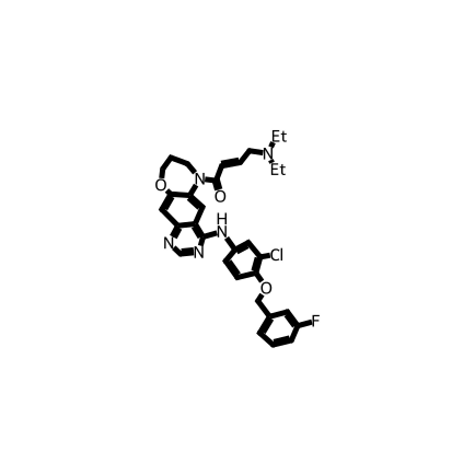 CCN(CC)C/C=C/C(=O)N1CCCOc2cc3ncnc(Nc4ccc(OCc5cccc(F)c5)c(Cl)c4)c3cc21